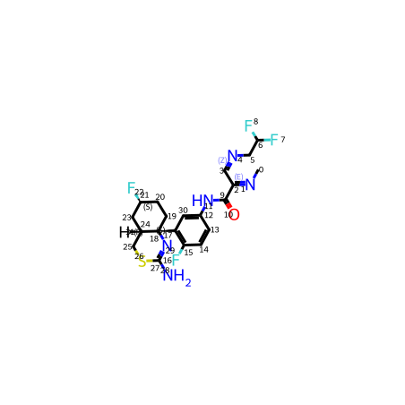 C/N=C(\C=N/CC(F)F)C(=O)Nc1ccc(F)c([C@]23CC[C@H](F)C[C@H]2CSC(N)=N3)c1